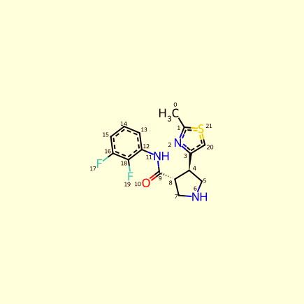 Cc1nc([C@H]2CNC[C@@H]2C(=O)Nc2cccc(F)c2F)cs1